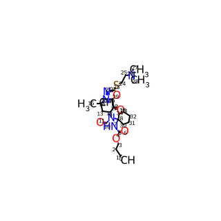 C#CCCOC(=O)NC1(N(C=O)C(CC(C)C)C(=O)c2nnc(SCCN(C)C)o2)CCCCC1